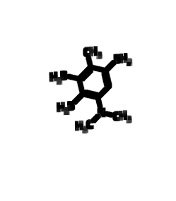 Bc1cc(N(C)C)c(B)c(B)c1C